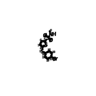 CNS(=O)(=O)c1ccc(Sc2ccc(Br)cc2)s1